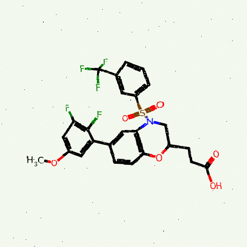 COc1cc(F)c(F)c(-c2ccc3c(c2)N(S(=O)(=O)c2cccc(C(F)(F)F)c2)CC(CCC(=O)O)O3)c1